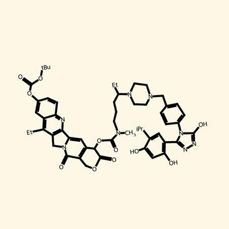 CCc1c2c(nc3ccc(OC(=O)OC(C)(C)C)cc13)-c1cc3c(c(=O)n1C2)COC(=O)C3OC(=O)N(C)CCCC(CC)N1CCN(Cc2ccc(-n3c(O)nnc3-c3cc(C(C)C)c(O)cc3O)cc2)CC1